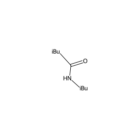 CCC(C)NC(=O)C(C)CC